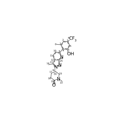 Cc1cc(C(F)(F)F)cc(O)c1-c1ccc2c(C)n([C@H]3CCC(=O)N(C)C3)nc2n1